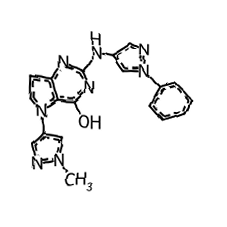 Cn1cc(-n2ccc3nc(Nc4cnn(-c5ccccc5)c4)nc(O)c32)cn1